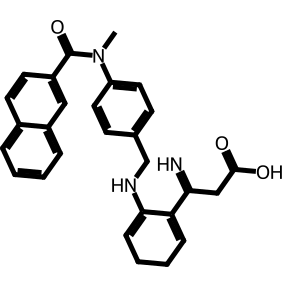 CN(C(=O)c1ccc2ccccc2c1)c1ccc(CNC2=CCCC=C2C(=N)CC(=O)O)cc1